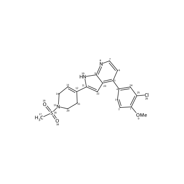 COc1ccc(-c2ccnc3[nH]c(C4=CCN(S(C)(=O)=O)CC4)cc23)cc1Cl